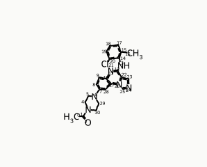 CC(=O)N1CCN(c2ccc3nc(Nc4c(C)cccc4Cl)c4cncn4c3c2)CC1